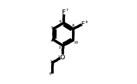 C[CH]Oc1ccc(F)c(F)c1